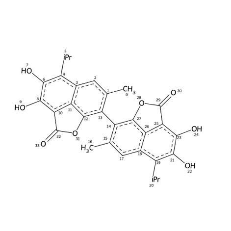 Cc1cc2c(C(C)C)c(O)c(O)c3c2c(c1-c1c(C)cc2c(C(C)C)c(O)c(O)c4c2c1OC4=O)OC3=O